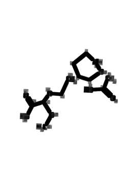 C1C[CH2][AlH][O]C1.CC(=O)O.CCOC(OC)C(=O)O